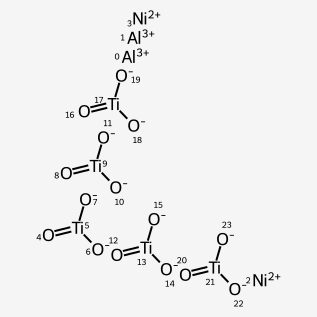 [Al+3].[Al+3].[Ni+2].[Ni+2].[O]=[Ti]([O-])[O-].[O]=[Ti]([O-])[O-].[O]=[Ti]([O-])[O-].[O]=[Ti]([O-])[O-].[O]=[Ti]([O-])[O-]